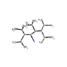 BB(B)B(B(B)B)B(I)B(B(B)B)B(B(B)B)B(B)B